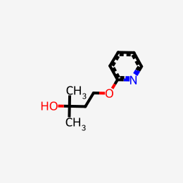 CC(C)(O)CCOc1ccccn1